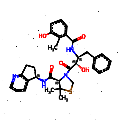 Cc1c(O)cccc1C(=O)N[C@@H](Cc1ccccc1)[C@H](O)C(=O)N1CSC(C)(C)[C@H]1C(=O)N[C@@H]1CCc2ncccc21